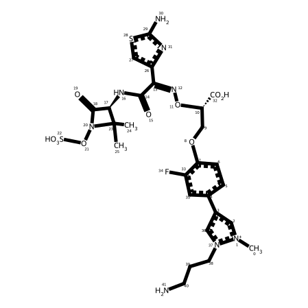 C[n+]1cc(-c2ccc(OC[C@H](O/N=C(\C(=O)N[C@@H]3C(=O)N(OS(=O)(=O)O)C3(C)C)c3csc(N)n3)C(=O)O)c(F)c2)cn1CCCN